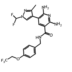 Cc1nn(C(F)F)cc1-c1cc(C(=O)NCc2ccc(OCC(F)(F)F)cc2)c(N)nc1N